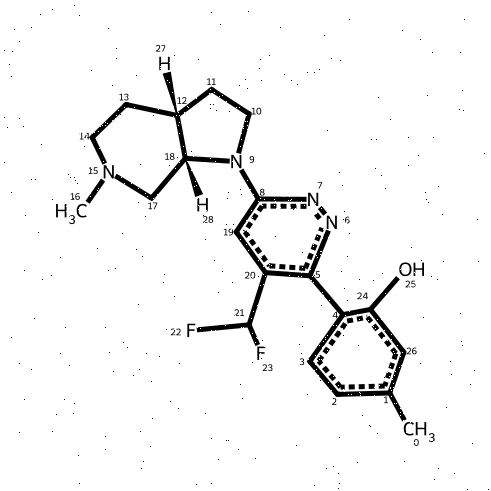 Cc1ccc(-c2nnc(N3CC[C@H]4CCN(C)C[C@H]43)cc2C(F)F)c(O)c1